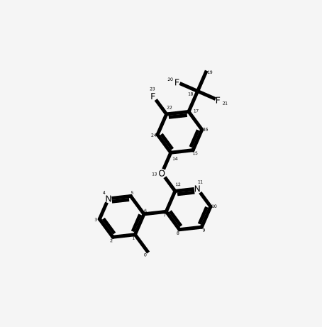 Cc1ccncc1-c1cccnc1Oc1ccc(C(C)(F)F)c(F)c1